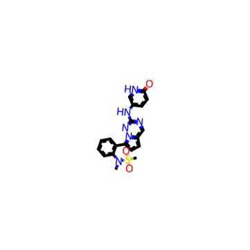 CN(c1ccccc1-c1ccc2cnc(Nc3ccc(=O)[nH]c3)nn12)S(C)(=O)=O